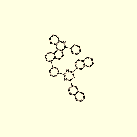 c1ccc(-c2nc3ccccc3c3c2ccc2c(-c4cccc(-c5nc(-c6ccc7ccccc7c6)nc(-c6ccc7ccccc7c6)n5)c4)cccc23)cc1